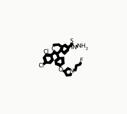 NNC(=S)c1ccc2c(c1)CCCC(c1ccc(Cl)cc1Cl)=C2c1ccc(OC2CCN(CCCF)C2)cc1